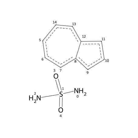 NS(N)(=O)=O.c1ccc2cccc-2cc1